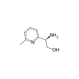 Cc1cccc([C@@H](N)CO)n1